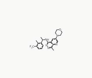 Cc1c(C(C)Nc2nnc(C)c3ncc(N4CCOCC4)cc23)cccc1C(F)(F)F